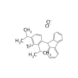 CC(C)c1ccc(C2c3ccccc3-c3ccccc32)c(C(C)C)[c]1[Ti+2].[Cl-].[Cl-]